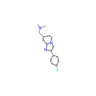 CN(C)Cc1ccn2cc(-c3ccc(F)cc3)nc2c1